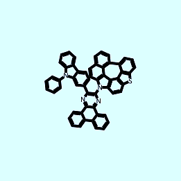 c1ccc(-n2c3ccccc3c3ccc(-c4nc5c6ccccc6c6ccccc6c5nc4-n4c5ccc6cccc7c6c5c5c6c(ccc54)sc4cccc-7c46)cc32)cc1